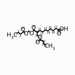 CCCC(=O)OCOC(=O)C(CCCCCCCC(=O)O)COC(=O)CCC